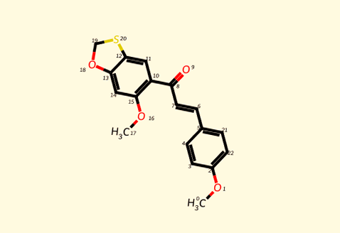 COc1ccc(C=CC(=O)c2cc3c(cc2OC)OCS3)cc1